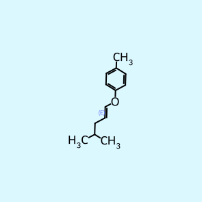 Cc1ccc(O/C=C/CC(C)C)cc1